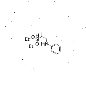 CCO[SiH](OCC)C(C)CNc1ccccc1